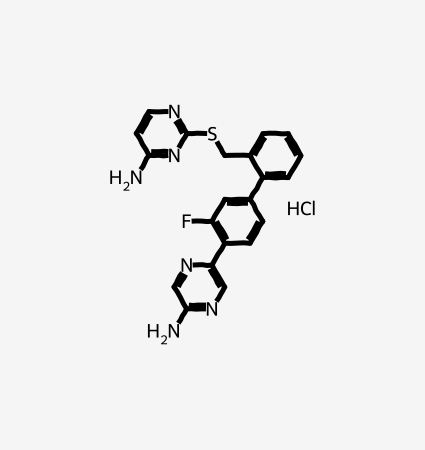 Cl.Nc1cnc(-c2ccc(-c3ccccc3CSc3nccc(N)n3)cc2F)cn1